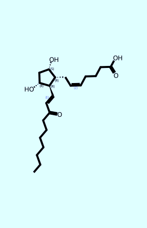 CCCCCCCC(=O)/C=C/[C@@H]1[C@@H](C/C=C\CCCC(=O)O)[C@@H](O)C[C@H]1O